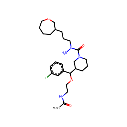 COC(=O)NCCOC(c1cccc(F)c1)C1CCCN(C(=O)N(N)CCCC2CCCCOC2)C1